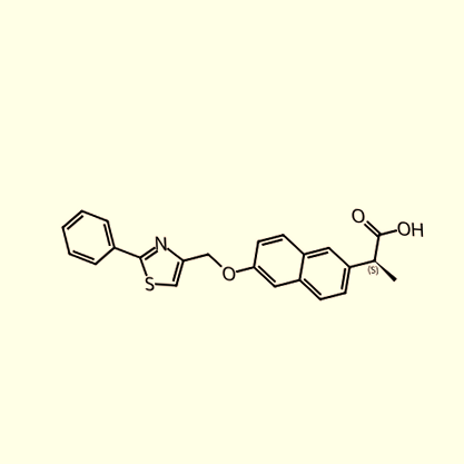 C[C@H](C(=O)O)c1ccc2cc(OCc3csc(-c4ccccc4)n3)ccc2c1